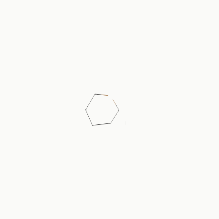 C1CCSCC1.[HH]